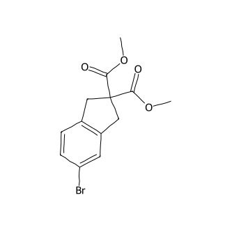 COC(=O)C1(C(=O)OC)Cc2ccc(Br)cc2C1